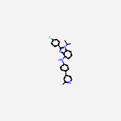 Cc1cc(-c2ccc(Nc3cccc4c3nc(-c3ccc(F)cc3)n4C(C)C)cc2)ccn1